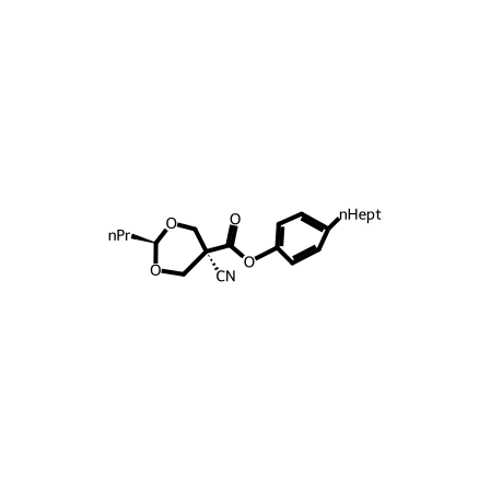 CCCCCCCc1ccc(OC(=O)[C@]2(C#N)CO[C@H](CCC)OC2)cc1